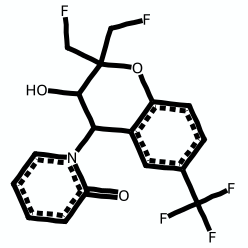 O=c1ccccn1C1c2cc(C(F)(F)F)ccc2OC(CF)(CF)C1O